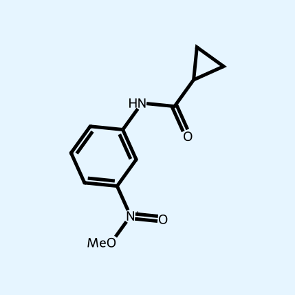 CO[N+](=O)c1cccc(NC(=O)C2CC2)c1